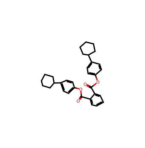 O=C(Oc1ccc(C2CCCCC2)cc1)c1ccccc1C(=O)Oc1ccc(C2CCCCC2)cc1